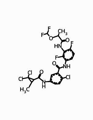 CC(OC(F)F)C(=O)Nc1c(F)ccc(NC(=O)c2cc(NC(=O)C3C(C)C3(Cl)Cl)ccc2Cl)c1F